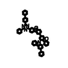 c1ccc(-c2ccc(-c3nc(-c4ccccc4)nc(-c4ccc5c(c4)oc4ccc(-c6cc(-n7c8ccccc8c8cc(-c9ccccc9)ccc87)c7c(c6)oc6ccccc67)cc45)n3)cc2)cc1